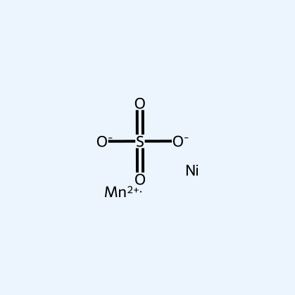 O=S(=O)([O-])[O-].[Mn+2].[Ni]